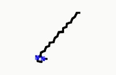 CCCCCCCCC=CCCCCCCCCC1=NCCN1C